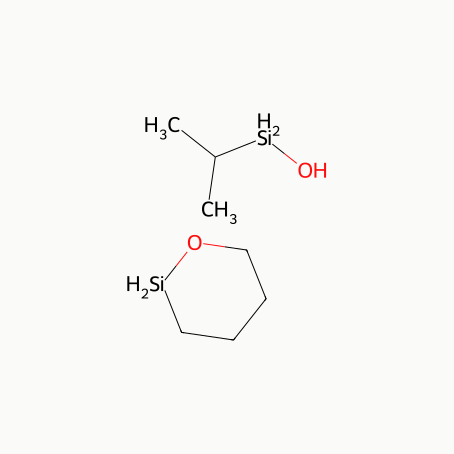 C1CC[SiH2]OC1.CC(C)[SiH2]O